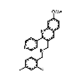 COc1ccc2cc(CNCc3ccc(F)cc3F)c(-c3ccncc3)nc2c1